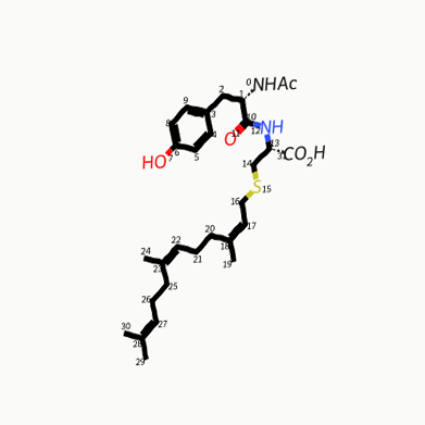 CC(=O)N[C@@H](Cc1ccc(O)cc1)C(=O)N[C@@H](CSCC=C(C)CCC=C(C)CCC=C(C)C)C(=O)O